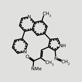 C=Nc1[nH]cc(-c2cc(C)c3nccc(-c4cccnc4)c3c2)c1/C=C(\C)C(=O)NC